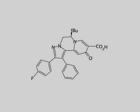 CC(C)(C)[C@@H]1Cn2nc(-c3ccc(F)cc3)c(-c3ccccc3)c2-c2cc(=O)c(C(=O)O)cn21